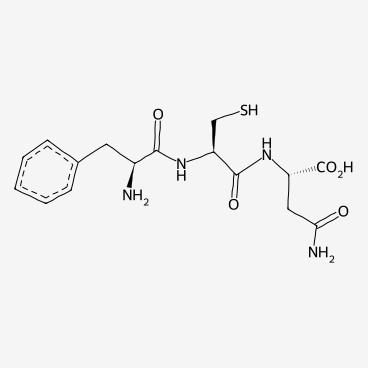 NC(=O)C[C@H](NC(=O)[C@H](CS)NC(=O)[C@@H](N)Cc1ccccc1)C(=O)O